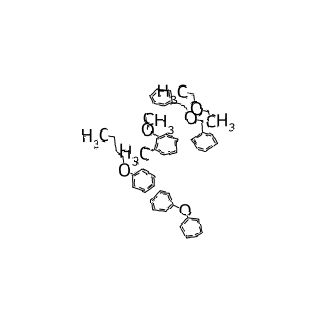 CCCCOc1ccccc1.CCOCC.COc1ccccc1C.c1ccc(COCc2ccccc2)cc1.c1ccc(Oc2ccccc2)cc1